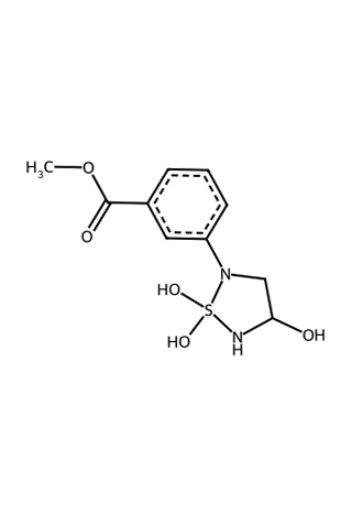 COC(=O)c1cccc(N2CC(O)NS2(O)O)c1